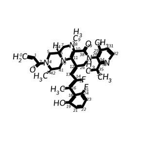 C=CC(=O)N1C[C@@H]2CN(C)C3=C(/C(=C/C(F)=C(\C)c4c(O)cccc4F)CN(c4c(C)ccnc4C(C)C)C3=O)N2C[C@H]1C